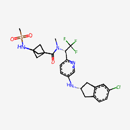 CN(C(=O)C12CC(NS(C)(=O)=O)(C1)C2)[C@@H](c1ccc(N[C@H]2Cc3ccc(Cl)cc3C2)cn1)C(F)(F)F